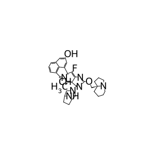 C#Cc1cccc2cc(O)cc(-c3nc(C)c4c(N5CC6CCC(C5)N6)nc(OC[C@]56CCCCN5CCC6)nc4c3F)c12